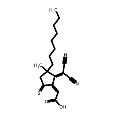 CCCCCCCCC1(C)CC(=S)/C(=C\C(=O)O)C1=C(C#N)C#N